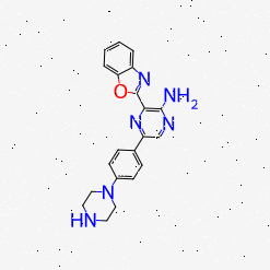 Nc1ncc(-c2ccc(N3CCNCC3)cc2)nc1-c1nc2ccccc2o1